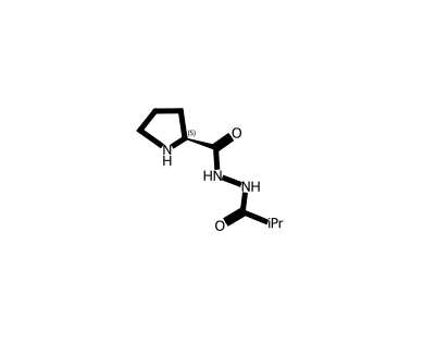 CC(C)C(=O)NNC(=O)[C@@H]1CCCN1